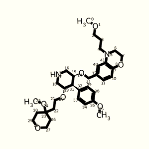 COCCCN1CCOc2ccc(CO[C@H]3CNC[C@@H](OCCC4(OC)CCOCC4)[C@@H]3c3ccc(OC)cc3)cc21